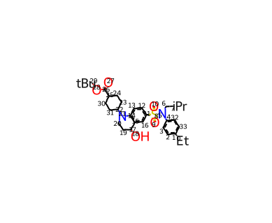 CCc1ccc(N(CC(C)C)S(=O)(=O)c2ccc3c(c2)C(O)CCN3C2CCC(C(=O)OC(C)(C)C)CC2)cc1